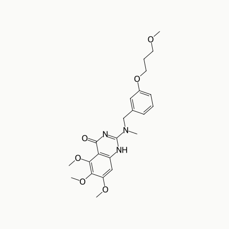 COCCCOc1cccc(CN(C)c2nc(=O)c3c(OC)c(OC)c(OC)cc3[nH]2)c1